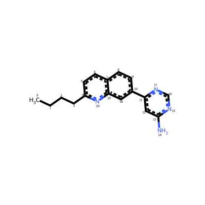 CCCCc1ccc2ccc(-c3cc(N)ncn3)cc2n1